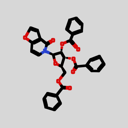 O=C(OC[C@H]1O[C@@H](n2ccc3occc3c2=O)[C@H](OC(=O)c2ccccc2)[C@@H]1OC(=O)c1ccccc1)c1ccccc1